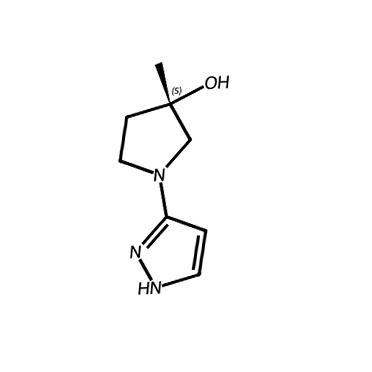 C[C@]1(O)CCN(c2cc[nH]n2)C1